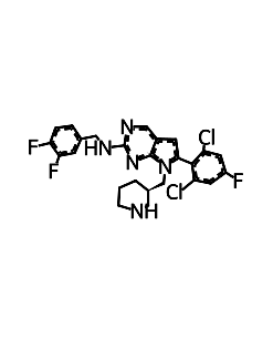 Fc1cc(Cl)c(-c2cc3cnc(NCc4ccc(F)c(F)c4)nc3n2C[C@@H]2CCCNC2)c(Cl)c1